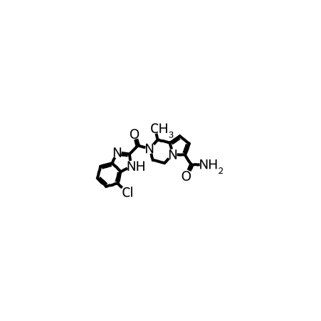 CC1c2ccc(C(N)=O)n2CCN1C(=O)c1nc2cccc(Cl)c2[nH]1